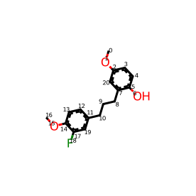 COc1ccc(O)c(CCCc2ccc(OC)c(F)c2)c1